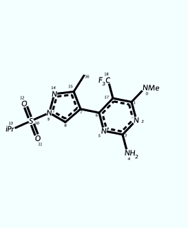 CNc1nc(N)nc(-c2cn(S(=O)(=O)C(C)C)nc2C)c1C(F)(F)F